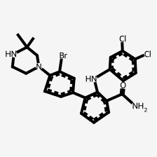 CC1(C)CN(c2ccc(-c3cccc(C(N)=O)c3Nc3ccc(Cl)c(Cl)c3)cc2Br)CCN1